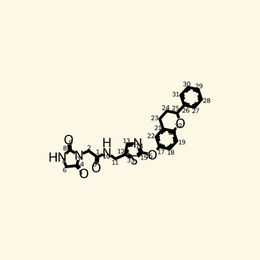 O=C(CN1C(=O)CNC1=O)NCc1cnc(Oc2ccc3c(c2)CCC(c2ccccc2)O3)s1